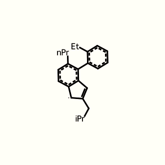 CCCc1ccc2c(c1-c1ccccc1CC)C=C(CC(C)C)[CH]2